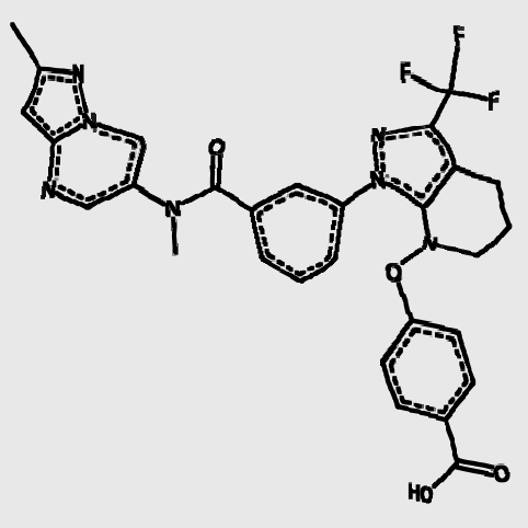 Cc1cc2ncc(N(C)C(=O)c3cccc(-n4nc(C(F)(F)F)c5c4N(Oc4ccc(C(=O)O)cc4)CCC5)c3)cn2n1